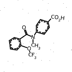 CN(C(=O)c1ccccc1OC(F)(F)F)c1ccc(C(=O)O)cc1